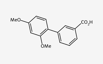 COc1ccc(-c2cccc(C(=O)O)c2)c(OC)c1